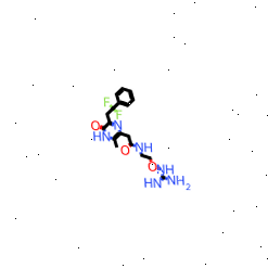 Cc1[nH]c(=O)c(CC(F)(F)c2ccccc2)nc1CC(=O)NCCONC(=N)N